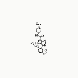 CC(=O)N1CCC(NC(=O)c2c[nH]c3c(-c4c(OCC5CC5)ccc5c4OCO5)ncnc23)CC1